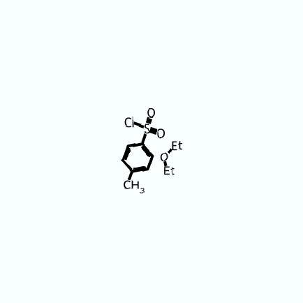 CCOCC.Cc1ccc(S(=O)(=O)Cl)cc1